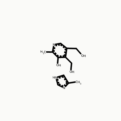 Cc1c[nH]cn1.Cc1ncc(CO)c(CO)c1O